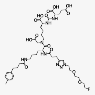 Cc1ccc(CCCC(=O)NCCCC[C@@H](NC(=O)CCc2cn(CCOCCOCCF)nn2)C(=O)N(CCCC[C@H](NC(=O)N[C@@H](CCC(=O)O)C(=O)O)C(=O)O)CC(=O)O)cc1